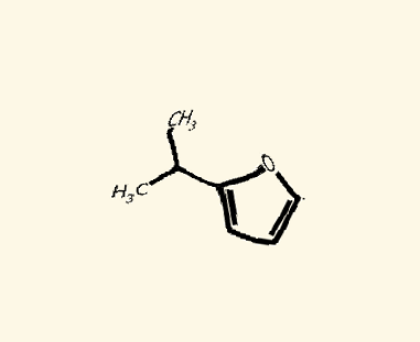 CC(C)c1cc[c]o1